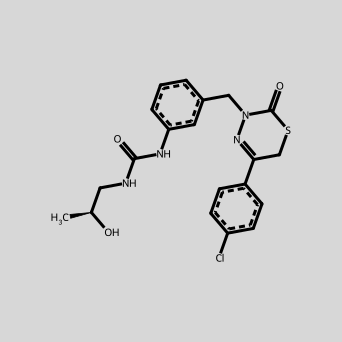 C[C@H](O)CNC(=O)Nc1cccc(CN2N=C(c3ccc(Cl)cc3)CSC2=O)c1